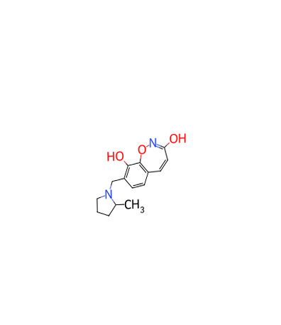 CC1CCCN1Cc1ccc2c(c1O)ON=C(O)C=C2